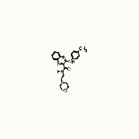 Cc1ccc(Nc2nc3ccccc3nc2C(=O)NCCN2CCOCC2)cc1